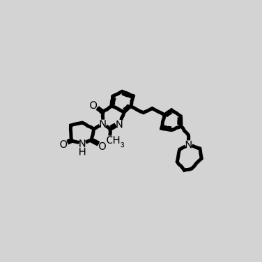 Cc1nc2c(CCc3ccc(CN4CCCCCC4)cc3)cccc2c(=O)n1C1CCC(=O)NC1=O